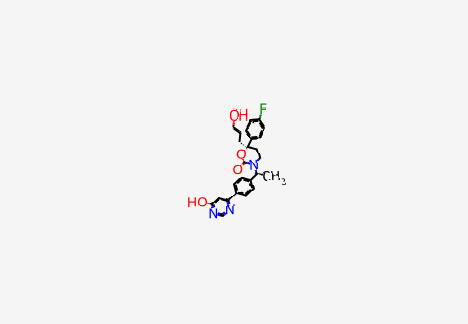 C[C@@H](c1ccc(-c2cc(O)ncn2)cc1)N1CC[C@](CCCO)(c2ccc(F)cc2)OC1=O